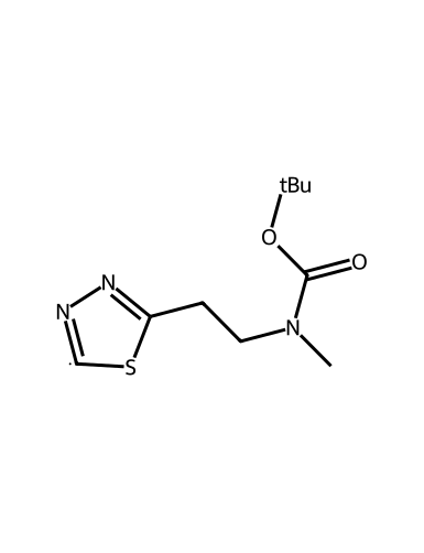 CN(CCc1nn[c]s1)C(=O)OC(C)(C)C